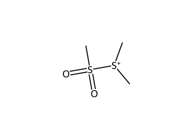 C[S+](C)S(C)(=O)=O